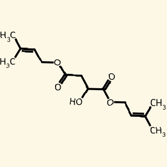 CC(C)=CCOC(=O)CC(O)C(=O)OCC=C(C)C